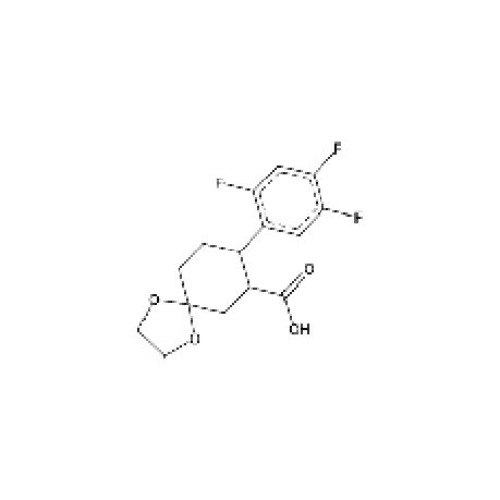 O=C(O)C1CC2(CCC1c1cc(F)c(F)cc1F)OCCO2